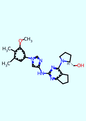 COc1cc(-n2cnc(Nc3nc4c(c(N5CCC[C@@H]5CO)n3)CCC4)c2)cc(C)c1C